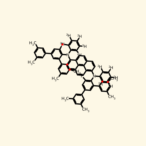 [2H]c1c([2H])c([2H])c(N(c2c(F)cc(-c3cc(C)cc(C)c3)cc2-c2cc(C)cc(C)c2)c2ccc3ccc4c(N(c5c(F)cc(-c6cc(C)cc(C)c6)cc5-c5cc(C)cc(C)c5)c5c([2H])c([2H])c([2H])c([2H])c5[2H])ccc5ccc2c3c54)c([2H])c1[2H]